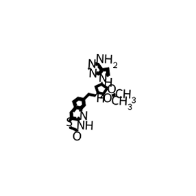 CC1(C)O[C@@H]2[C@@H](CCc3ccc4cc5c(nc4c3)NC(=O)CS5)C[C@@H](n3ccc4c(N)ncnc43)[C@@H]2O1